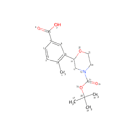 Cc1ccc(C(=O)O)cc1C1CN(C(=O)OC(C)(C)C)CCO1